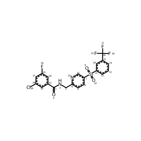 O=C(NCc1ccc(S(=O)(=O)c2cccc(C(F)(F)F)c2)cn1)c1cc(F)cc(Cl)c1